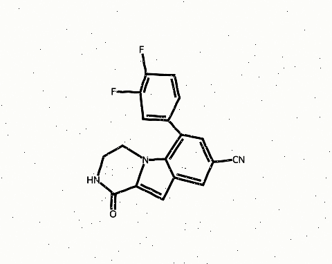 N#Cc1cc(-c2ccc(F)c(F)c2)c2c(c1)cc1n2CCNC1=O